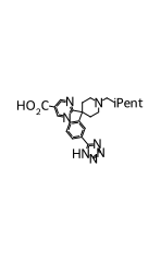 CCCC(C)CN1CCC(c2cccc(-c3nnn[nH]3)c2)(c2ncc(C(=O)O)cn2)CC1